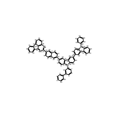 c1ccc(-c2cccc(-n3c4ccc(-c5ccc6cc(-c7nc8c9c(cccc9n7)-c7ccccc7-8)ccc6c5)cc4c4cc(-c5ccc6c(c5)c5ccccc5n6-c5ccccc5)ccc43)c2)cc1